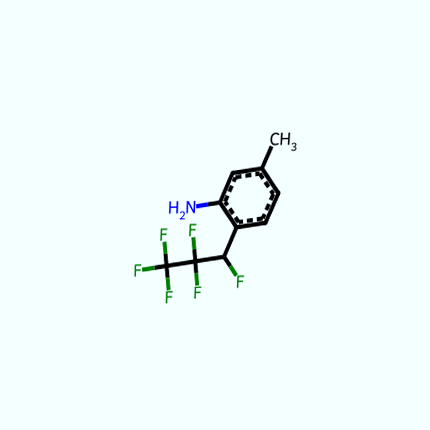 Cc1ccc(C(F)C(F)(F)C(F)(F)F)c(N)c1